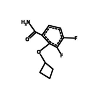 NC(=O)c1ccc(F)c(F)c1OC1CCC1